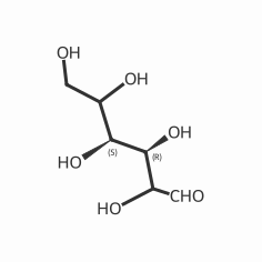 O=CC(O)[C@H](O)[C@@H](O)C(O)CO